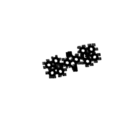 N#Cc1cc(N2c3ccccc3[Si](c3ccccc3)(c3ccccc3)c3ccccc32)cc(C#N)c1-c1c(C#N)cc(N2c3ccccc3[Si](c3ccccc3)(c3ccccc3)c3ccccc32)cc1C#N